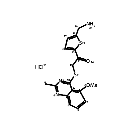 COc1cccc2nc(C)nc(SCC(=O)c3ccc(CN)s3)c12.Cl